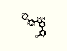 Clc1cc(-c2ccc3[nH]nc(-c4cc(N5CCOCC5)ncn4)c3c2)ccn1